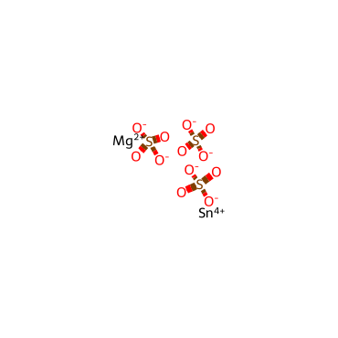 O=S(=O)([O-])[O-].O=S(=O)([O-])[O-].O=S(=O)([O-])[O-].[Mg+2].[Sn+4]